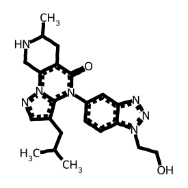 CC(C)Cc1cnn2c3c(c(=O)n(-c4ccc5c(c4)nnn5CCO)c12)CC(C)NC3